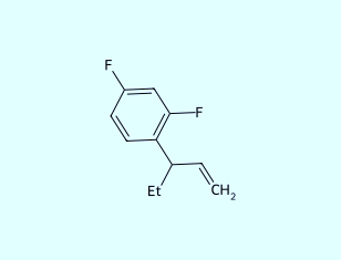 C=CC(CC)c1ccc(F)cc1F